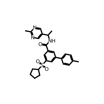 Cc1ccc(-c2cc(C(=O)NC(C)c3cnc(C)nc3)cc(S(=O)(=O)C3CCCC3)c2)cc1